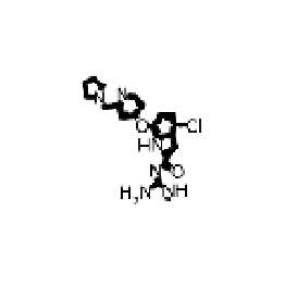 CNC(N)=NC(=O)c1cc2c(Cl)ccc(Oc3ccnc(CN4CCCC4)c3)c2[nH]1